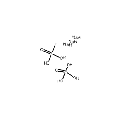 O=P(O)(O)F.O=P(O)(O)O.[NaH].[NaH].[NaH]